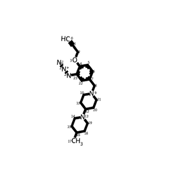 C#CCOc1ccc(CN2CCC(N3CCC(C)CC3)CC2)cc1N=[N+]=[N-]